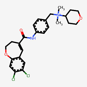 C[N+](C)(Cc1ccc(NC(=O)C2=Cc3cc(Cl)c(Cl)cc3OCC2)cc1)C1CCOCC1